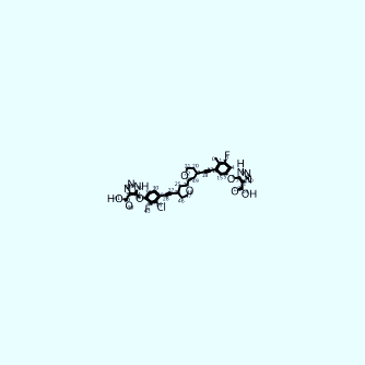 Cc1c(F)cc(Oc2[nH]nnc2C(=O)O)cc1C#CC1CCOC(C2CC(C#Cc3ccc(Oc4[nH]nnc4C(=O)O)c(F)c3Cl)CCO2)C1